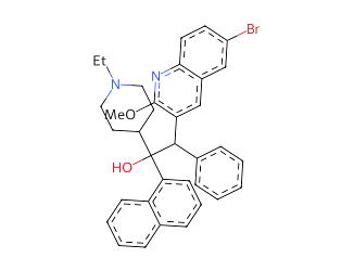 CCN1CCC(C(O)(c2cccc3ccccc23)C(c2ccccc2)c2cc3cc(Br)ccc3nc2OC)CC1